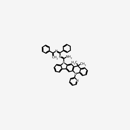 C=C(/N=C(\N=C(/N)n1c2ccccc2c2cc3c(cc21)C(C)(C)c1ccccc1N3c1ccccn1)C1=CCCC=C1)c1ccccc1